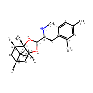 CN[C@@H](Cc1ccc(C)cc1C)B1O[C@@H]2C[C@@H]3C[C@@H](C3(C)C)[C@]2(C)O1